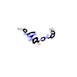 Cc1ccc2ccc(CNC3CCN(C(=O)c4ccc(Nc5nccc(Nc6ccc(F)c(C)c6)n5)cc4)CC3)cc2n1